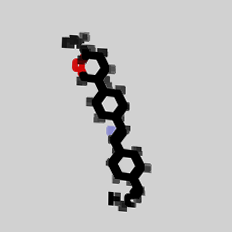 C=CC1CCC(/C=C/C2CCC(C3CCC(CCC)OC3)CC2)CC1